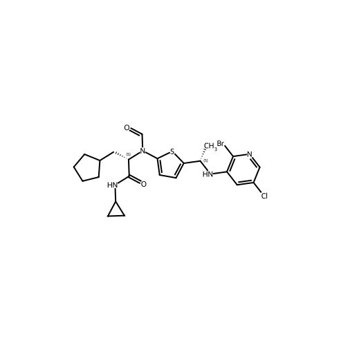 C[C@H](Nc1cc(Cl)cnc1Br)c1ccc(N(C=O)[C@@H](CC2CCCC2)C(=O)NC2CC2)s1